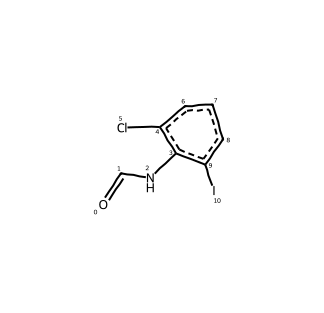 O=CNc1c(Cl)cccc1I